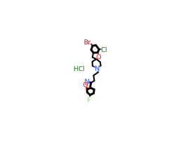 Cl.Fc1ccc2c(CCCN3CCC4(CC3)Cc3cc(Br)cc(Cl)c3O4)noc2c1